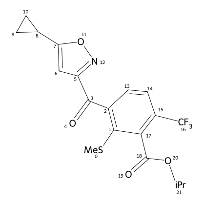 CSc1c(C(=O)c2cc(C3CC3)on2)ccc(C(F)(F)F)c1C(=O)OC(C)C